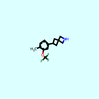 Cc1ccc(C2CC3(CNC3)C2)cc1OC(F)(F)F